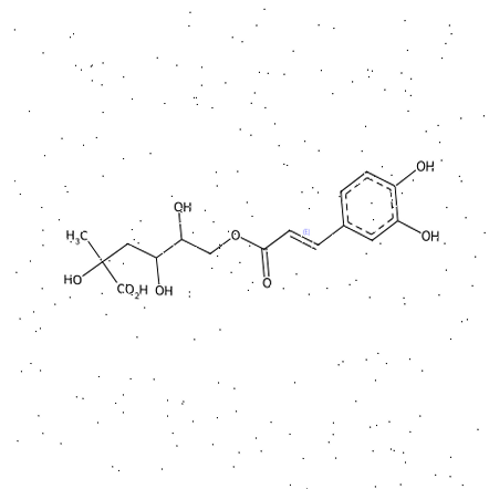 CC(O)(CC(O)C(O)COC(=O)/C=C/c1ccc(O)c(O)c1)C(=O)O